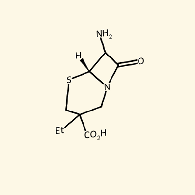 CCC1(C(=O)O)CS[C@@H]2C(N)C(=O)N2C1